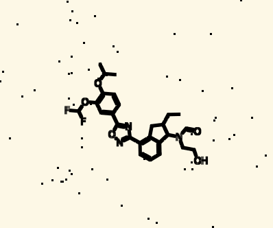 CCC1Cc2c(-c3noc(-c4ccc(OC(C)C)c(OC(F)F)c4)n3)cccc2C1N(C=O)CCO